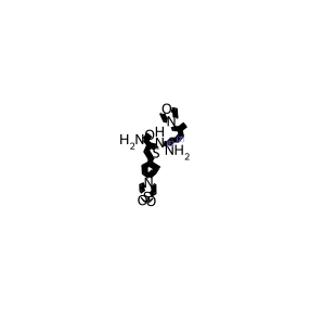 C=C(/C=C\C=C(/N)Nc1sc(-c2ccc(N3CCS(=O)(=O)CC3)cc2)cc1C(N)=O)CN1CCOCC1